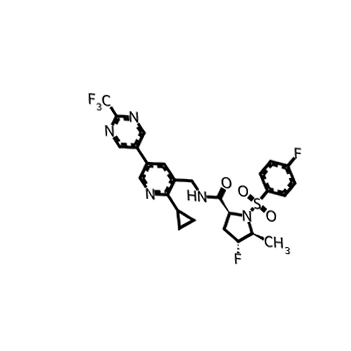 C[C@H]1[C@H](F)C[C@@H](C(=O)NCc2cc(-c3cnc(C(F)(F)F)nc3)cnc2C2CC2)N1S(=O)(=O)c1ccc(F)cc1